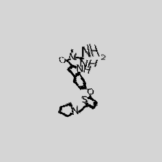 CN(C(=N)N)C(=O)c1cc2ccc(Oc3ccc(CN4CCCC4)s3)cc2[nH]1